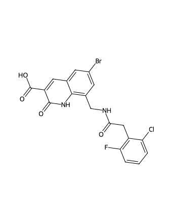 O=C(Cc1c(F)cccc1Cl)NCc1cc(Br)cc2cc(C(=O)O)c(=O)[nH]c12